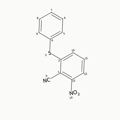 N#Cc1c(Sc2ccccc2)cccc1[N+](=O)[O-]